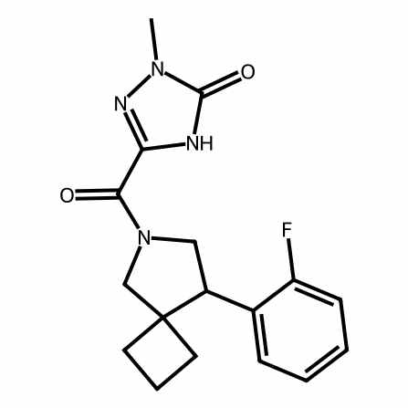 Cn1nc(C(=O)N2CC(c3ccccc3F)C3(CCC3)C2)[nH]c1=O